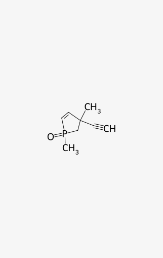 C#CC1(C)C=CP(C)(=O)C1